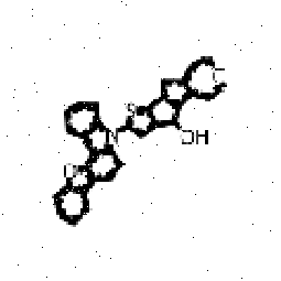 OC1c2cc(-n3c4ccccc4c4c5oc6ccccc6c5ccc43)sc2-c2cc3cccccc-3c21